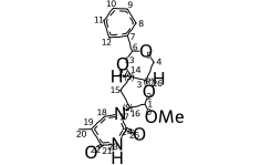 COC1O[C@@H]2COC(c3ccccc3)O[C@H]2C[C@@H]1n1cc(C)c(=O)[nH]c1=O